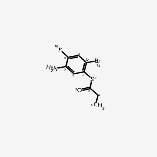 CCC(=O)Sc1cc(N)c(F)cc1Br